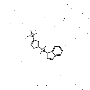 C[Si](C)(C)C1=CCC([Si](C)(C)C2C=Cc3ccccc32)=C1